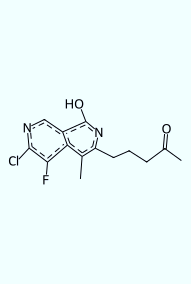 CC(=O)CCCc1nc(O)c2cnc(Cl)c(F)c2c1C